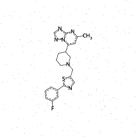 Cc1cc(C2CCCN(Cc3cnc(-c4cccc(F)c4)s3)C2)n2ncnc2n1